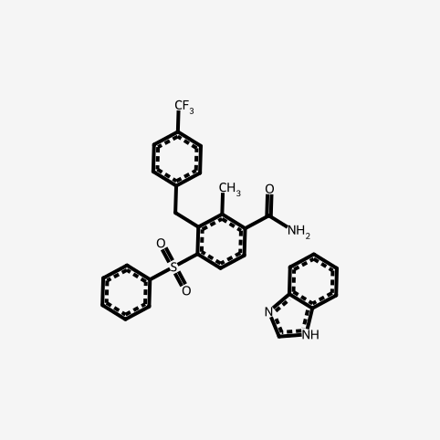 Cc1c(C(N)=O)ccc(S(=O)(=O)c2ccccc2)c1Cc1ccc(C(F)(F)F)cc1.c1ccc2[nH]cnc2c1